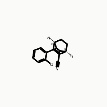 N#CC1C(c2ccccc2Cl)[C@H]2C=C[C@@H]1CC2